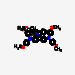 COc1ccc(N(c2ccc(OC)cc2)c2ccc3c(c2)C2(c4cc(N(c5ccc(OC)cc5)c5ccc(OC)cc5)ccc4-3)c3ccccc3-c3cc(C(C)(C)C)nn32)cc1